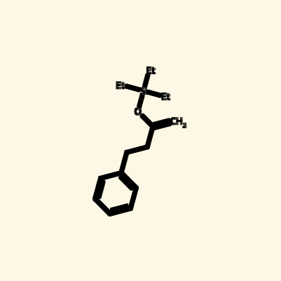 C=C(CCc1ccccc1)O[Si](CC)(CC)CC